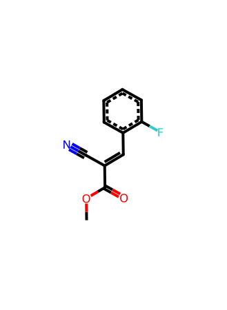 COC(=O)/C(C#N)=C/c1ccccc1F